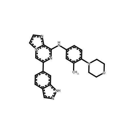 Cc1cc(Nc2nc(-c3ccc4cn[nH]c4c3)cn3ccnc23)ccc1N1CCOCC1